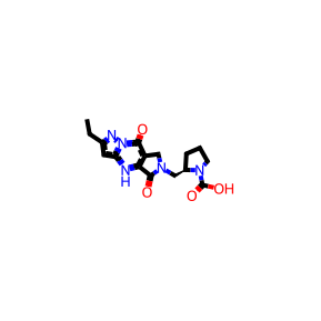 CCc1cc2[nH]c3c(c(=O)n2n1)CN(C[C@H]1CCCN1C(=O)O)C3=O